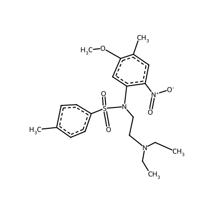 CCN(CC)CCN(c1cc(OC)c(C)cc1[N+](=O)[O-])S(=O)(=O)c1ccc(C)cc1